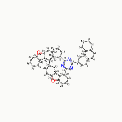 C1=Cc2ccc3ccc(-c4nc(-c5ccccc5)nc(-c5cccc6oc7ccc(-c8cccc9oc%10ccccc%10c89)cc7c56)n4)cc3c2CC1